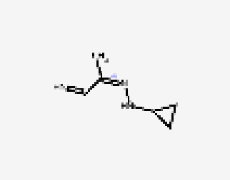 C/C(C=N)=N/NC1CC1